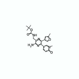 Cc1cc(-c2nc(CNC(=O)OC(C)(C)C)c(N)nc2-c2ccc(=O)n(C)c2)co1